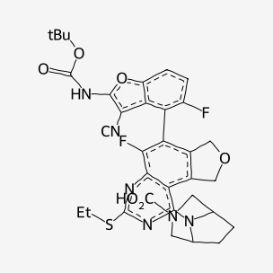 CCSc1nc(N2C3CCC2CN(C(=O)O)C3)c2c3c(c(-c4c(F)ccc5oc(NC(=O)OC(C)(C)C)c(C#N)c45)c(F)c2n1)COC3